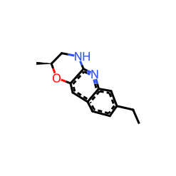 CCc1ccc2cc3c(nc2c1)NC[C@H](C)O3